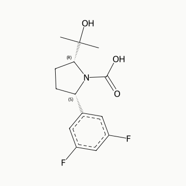 CC(C)(O)[C@H]1CC[C@@H](c2cc(F)cc(F)c2)N1C(=O)O